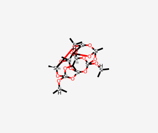 C[SiH](C)O[Si]12OC3[Si]4(O1)O[Si]1(O[SiH](C)C)O[Si]5(C)OC6[Si](C)(O4)O[Si@@](C)(O2)O[Si]6(O5)O[Si@]3(O[SiH](C)C)O1